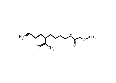 C=CCCC(CCCCOC(=O)COC)C(C)=O